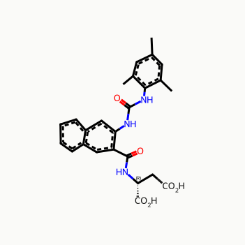 Cc1cc(C)c(NC(=O)Nc2cc3ccccc3cc2C(=O)N[C@H](CC(=O)O)C(=O)O)c(C)c1